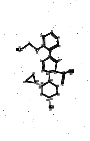 CCOc1ncccc1-c1ccc(N2CC[C@H](O)C[C@@H]2C2CC2)c(C(=O)O)n1